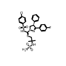 CC(C)(C/N=C(/NS(=O)(=O)c1ccc(Cl)cc1)N1C[C@@H](c2ccccc2)C(c2ccc(F)cc2)=N1)NS(N)(=O)=O